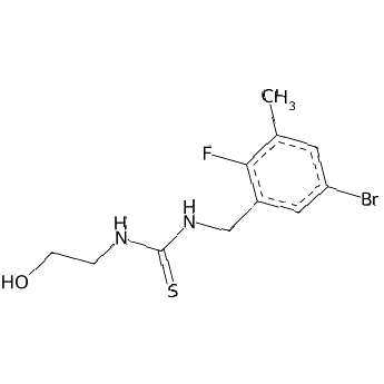 Cc1cc(Br)cc(CNC(=S)NCCO)c1F